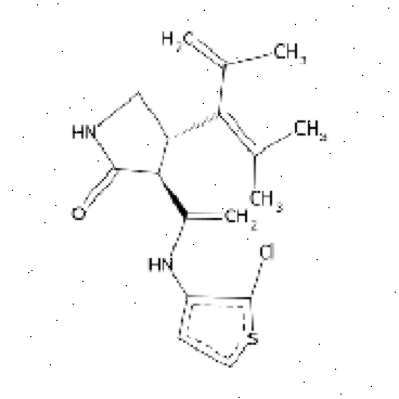 C=C(C)C(=C(C)C)[C@H]1CNC(=O)[C@@H]1C(=C)Nc1ccsc1Cl